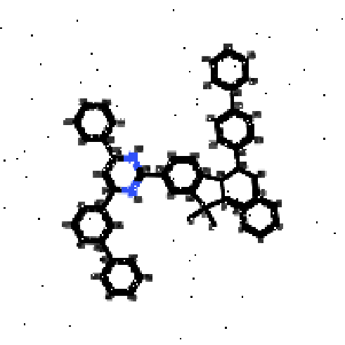 CC1(C)C2=c3ccccc3=CC(c3ccc(-c4ccccc4)cc3)C2c2ccc(-c3nc(-c4ccccc4)cc(-c4cccc(-c5ccccc5)c4)n3)cc21